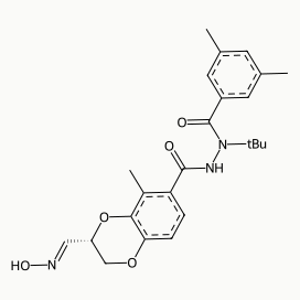 Cc1cc(C)cc(C(=O)N(NC(=O)c2ccc3c(c2C)O[C@@H](/C=N/O)CO3)C(C)(C)C)c1